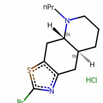 CCCN1CCC[C@H]2Cc3nc(Br)sc3C[C@@H]21.Cl